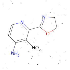 Nc1ccnc(C2=NCCO2)c1[N+](=O)[O-]